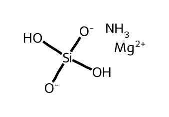 N.[Mg+2].[O-][Si]([O-])(O)O